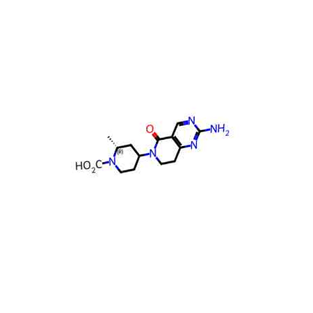 C[C@@H]1CC(N2CCc3nc(N)ncc3C2=O)CCN1C(=O)O